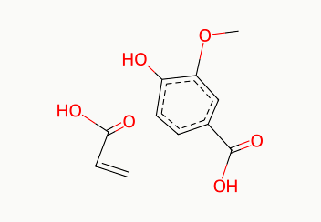 C=CC(=O)O.COc1cc(C(=O)O)ccc1O